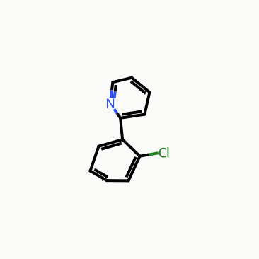 Clc1c[c]ccc1-c1ccccn1